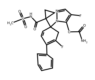 CS(=O)(=O)NC(=O)C1(C2(n3ncc(F)c3OC(N)=O)C=CC(c3ccccc3)=C(F)C2)CC1